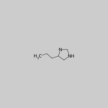 CCCC1CNC[N]1